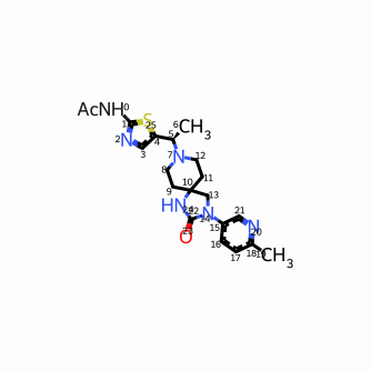 CC(=O)Nc1ncc([C@@H](C)N2CCC3(CC2)CN(c2ccc(C)nc2)C(=O)N3)s1